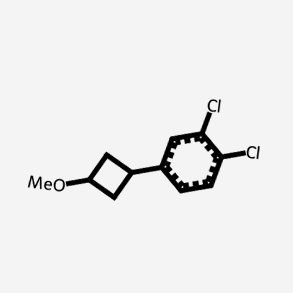 COC1CC(c2ccc(Cl)c(Cl)c2)C1